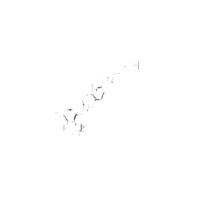 CCCCNC(=O)c1ccc2c(n1)CCN(Cc1ccc(F)c(F)c1[N+](=O)[O-])C2